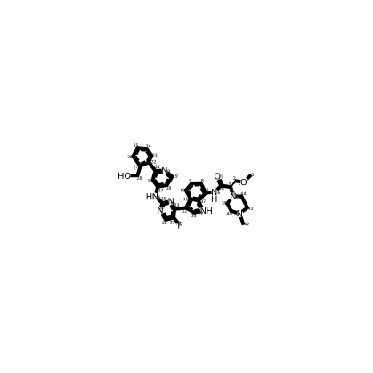 COC[C@H](C(=O)Nc1cccc2c(-c3nc(Nc4ccnc(-c5ccccc5CO)c4)ncc3F)c[nH]c12)N1CCN(C)CC1